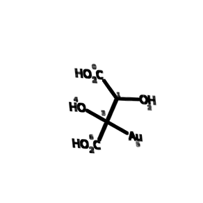 O=C(O)C(O)[C](O)([Au])C(=O)O